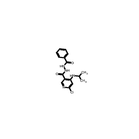 CC(C)Nc1cc(Cl)ncc1C(=O)NNC(=O)c1ccccc1